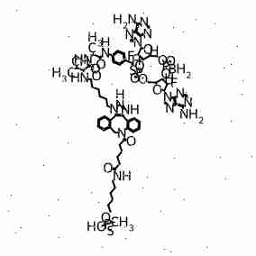 B[P@]1(=O)OC[C@H]2O[C@@H](n3cnc4c(N)ncnc43)[C@H](F)[C@@H]2O[P@@](=O)(SCc2ccc(NC(=O)[C@H](C)NC(=O)[C@@H](NC(=O)CCCCCN3NNC4=C3c3ccccc3CN(C(=O)CCCCC(=O)NCCCCCCOP(C)(O)=S)c3ccccc34)C(C)C)cc2)OCC2O[C@@H](n3cnc4c(N)ncnc43)[C@H](F)[C@@H]2O1